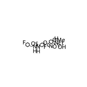 CCC(CO)NC(=O)c1c(OC)ccc2c(Oc3ccc(NC(=S)NC(=O)Cc4ccc(F)cc4)cc3F)ccnc12